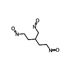 O=NCCC(CCN=O)CN=O